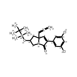 C=C=CC12C=C(c3cc(Cl)cc(Cl)c3)C(=O)N1CC(O[Si](C)(C)C(C)(C)C)C2